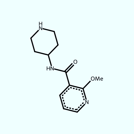 COc1ncccc1C(=O)NC1CCNCC1